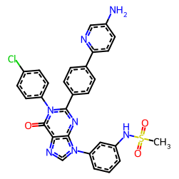 CS(=O)(=O)Nc1cccc(-n2cnc3c(=O)n(-c4ccc(Cl)cc4)c(-c4ccc(-c5ccc(N)cn5)cc4)nc32)c1